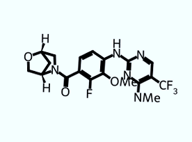 CNc1nc(Nc2ccc(C(=O)N3C[C@@H]4C[C@H]3CO4)c(F)c2OC)ncc1C(F)(F)F